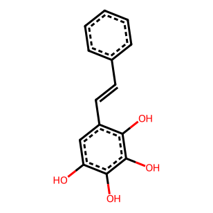 Oc1cc(C=Cc2ccccc2)c(O)c(O)c1O